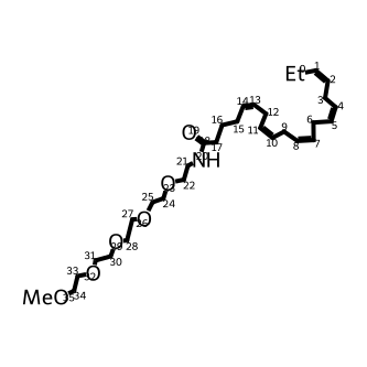 CC/C=C\C/C=C\C/C=C\C/C=C\C/C=C\CCCC(=O)NCCOCCOCCOCCOCCOC